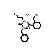 CC(C)C[C@H](NC(=O)[C@H](Cc1ccccc1)NC(=O)C1CCCCC1CS)C(=O)O